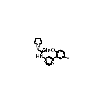 COc1ccc(F)cc1-c1cc(NC(=O)CN2CCCC2)ncn1